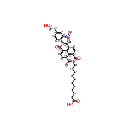 O=C(O)CCCCCCCCCCN1C(=O)c2ccc3c4c(ccc(c24)C1=O)C(=O)N(c1ccc(CCO)cc1[N+](=O)[O-])C3=O